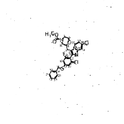 COC(=O)N1CCOC(Cc2c(-c3c(F)cc(SCc4ccccc4)cc3Cl)nc3cc(Cl)ccn23)C1